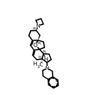 C[C@]12CC=C3C=C4CC[C@@H](N5CCC5)C[C@]45CCC3(O5)[C@@H]1CCC2N1CCc2ccccc2C1